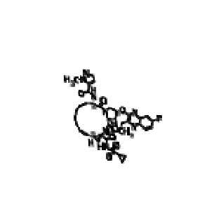 CCc1nc2ccc(F)cc2nc1O[C@@H]1C[C@H]2C(=O)N[C@]3(C(=O)NS(=O)(=O)C4CC4)C[C@H]3C=CCCCCC[C@H](NC(=O)c3ccnn3C)C(=O)N2C1